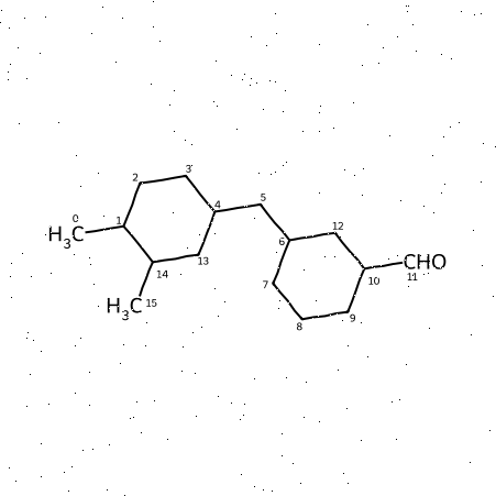 CC1CCC(CC2CCCC(C=O)C2)CC1C